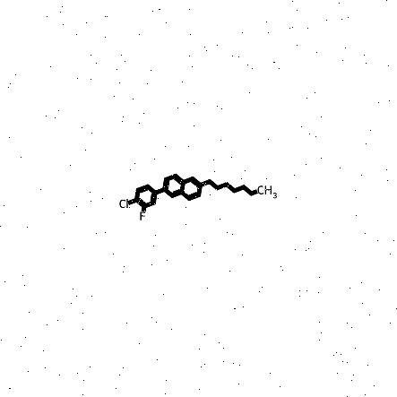 CCCCCCCc1ccc2cc(-c3ccc(Cl)c(F)c3)ccc2c1